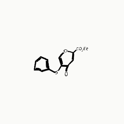 CCOC(=O)c1cc(=O)c(Sc2ccccc2)co1